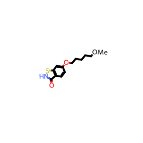 COCCCCCOc1ccc2c(=O)[nH]sc2c1